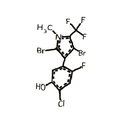 Cn1c(Br)c(-c2cc(O)c(Cl)cc2F)c(Br)c1C(F)(F)F